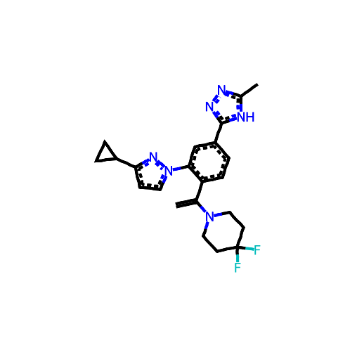 C=C(c1ccc(-c2nnc(C)[nH]2)cc1-n1ccc(C2CC2)n1)N1CCC(F)(F)CC1